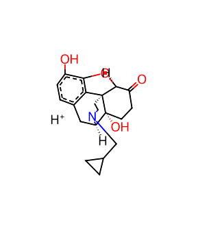 O=C1CC[C@@]2(O)[C@H]3Cc4ccc(O)c5c4[C@@]2(CCN3CC2CC2)[C@H]1O5.[H+]